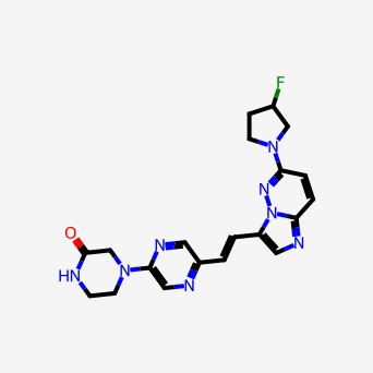 O=C1CN(c2cnc(/C=C/c3cnc4ccc(N5CCC(F)C5)nn34)cn2)CCN1